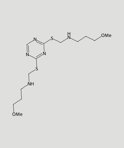 COCCCNCSc1ncnc(SCNCCCOC)n1